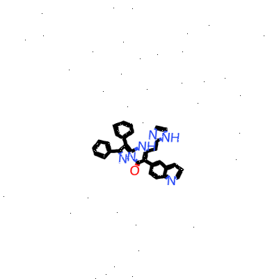 O=c1c(-c2ccc3ncccc3c2)c(Cc2ncc[nH]2)[nH]c2c(-c3ccccc3)c(-c3ccccc3)nn12